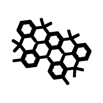 Cc1ccc2c3c1C(C)(C)c1cccc4c1B3c1c(cc3c5c1N2c1ccc(C)c2c1B5c1c(cccc1C2(C)C)C3(C)C)C4(C)C